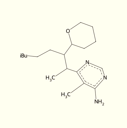 CCC(C)CCC(C1CCCCO1)C(C)c1ncnc(N)c1C